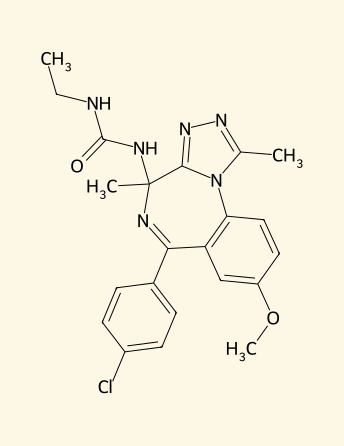 CCNC(=O)NC1(C)N=C(c2ccc(Cl)cc2)c2cc(OC)ccc2-n2c(C)nnc21